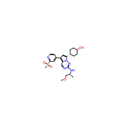 COC[C@H](C)Nc1ncc2c(-c3ccnc(S(C)(=O)=O)c3)cc([C@H]3CC[C@H](O)CC3)n2n1